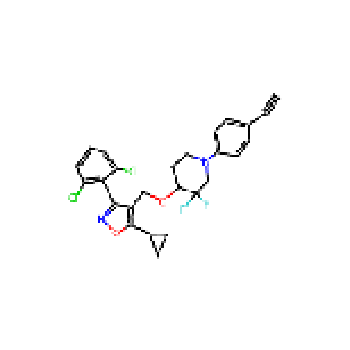 C#Cc1ccc(N2CCC(OCc3c(-c4c(Cl)cccc4Cl)noc3C3CC3)C(F)(F)C2)cc1